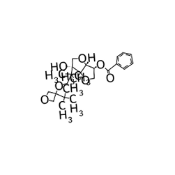 CC(C)(C)C1(OCC(C)(C)[C@@]2(O)CO[C@@H]3[C@@H](OC(=O)c4ccccc4)CO[C@@]32C)COC1